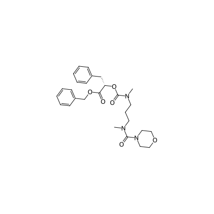 CN(CCCN(C)C(=O)N1CCOCC1)C(=O)O[C@@H](Cc1ccccc1)C(=O)OCc1ccccc1